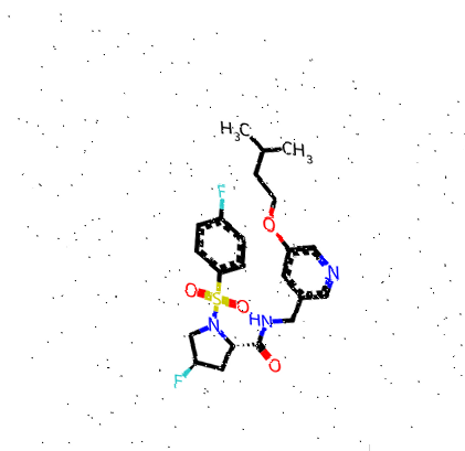 CC(C)CCOc1cncc(CNC(=O)[C@@H]2C[C@@H](F)CN2S(=O)(=O)c2ccc(F)cc2)c1